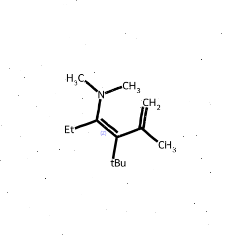 C=C(C)/C(=C(/CC)N(C)C)C(C)(C)C